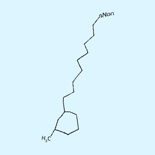 CCCCCCCCCCCCCCCCCCC1CCCC(C)C1